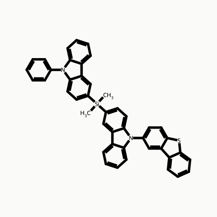 C[Si](C)(c1ccc2c(c1)c1ccccc1n2-c1ccccc1)c1ccc2c(c1)c1ccccc1n2-c1ccc2sc3ccccc3c2c1